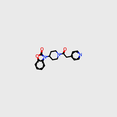 O=C(Cc1ccncc1)N1CCC(n2c(=O)oc3ccccc32)CC1